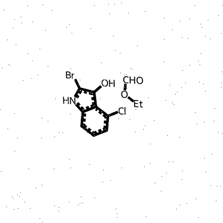 CCOC=O.Oc1c(Br)[nH]c2cccc(Cl)c12